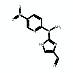 NN(c1ccc([N+](=O)[O-])cn1)c1nc(C=O)c[nH]1